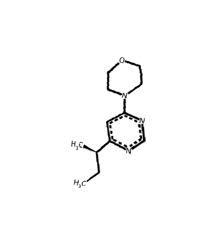 CC[C@@H](C)c1cc(N2CCOCC2)ncn1